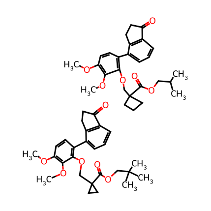 COc1ccc(-c2cccc3c2CCC3=O)c(OCC2(C(=O)OCC(C)(C)C)CC2)c1OC.COc1ccc(-c2cccc3c2CCC3=O)c(OCC2(C(=O)OCC(C)C)CCC2)c1OC